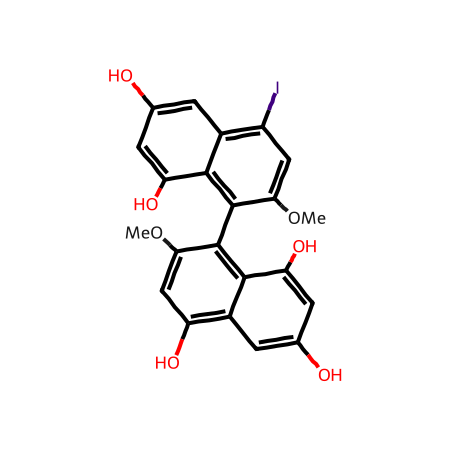 COc1cc(O)c2cc(O)cc(O)c2c1-c1c(OC)cc(I)c2cc(O)cc(O)c12